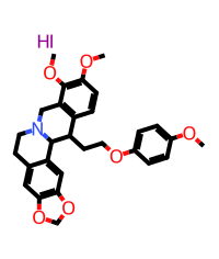 COc1ccc(OCCC2c3ccc(OC)c(OC)c3CN3CCc4cc5c(cc4C23)OCO5)cc1.I